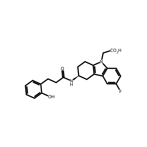 O=C(O)Cn1c2c(c3cc(F)ccc31)C[C@@H](NC(=O)CCc1ccccc1O)CC2